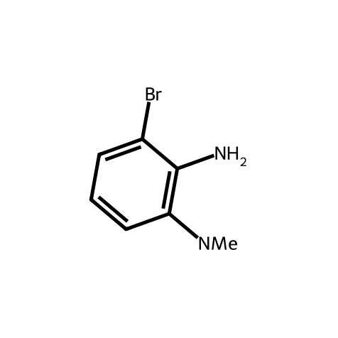 CNc1cccc(Br)c1N